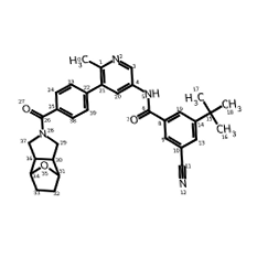 Cc1ncc(NC(=O)c2cc(C#N)cc(C(C)(C)C)c2)cc1-c1ccc(C(=O)N2CC3C4CCC(O4)C3C2)cc1